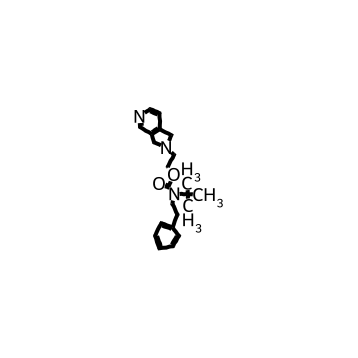 CC(C)(C)N(CCc1ccccc1)C(=O)OCCN1Cc2ccncc2C1